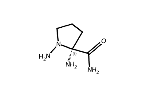 NC(=O)[C@]1(N)CCCN1N